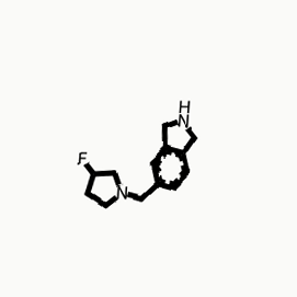 FC1CCN(Cc2ccc3c(c2)CNC3)C1